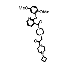 COc1ccc(OC)c(Sc2ncccc2C(=O)N2CCN(CC(=O)N3CCN(C4CCC4)CC3)CC2)c1